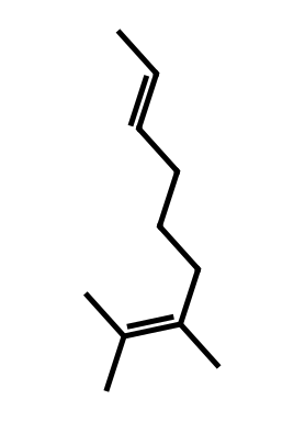 CC=CCCCC(C)=C(C)C